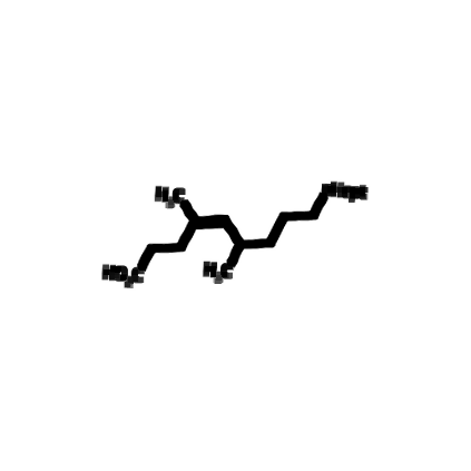 CCCCCCCCCCC(C)C=C(C)CCC(=O)O